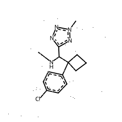 CNC(c1nnn(C)n1)C1(c2ccc(Cl)cc2)CCC1